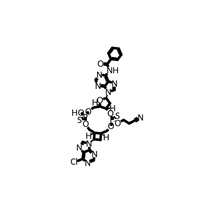 N#CCCOP1(=S)OC[C@H]2C[C@@H](n3cnc4c(Cl)ncnc43)[C@@H]2COP(O)(=S)OC[C@H]2O[C@@H](n3cnc4c(NC(=O)c5ccccc5)ncnc43)C[C@@H]2O1